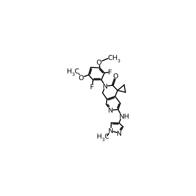 COc1cc(OC)c(F)c(N2Cc3cnc(Nc4cnn(C)c4)cc3C3(CC3)C2=O)c1F